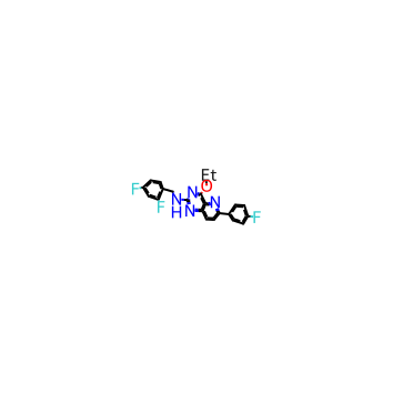 CCOc1nc(NCc2ccc(F)cc2F)nc2ccc(-c3ccc(F)cc3)nc12